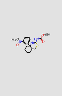 CO[N+](=O)c1cccc([C@]23CCCCC2CSC(NC(=O)OC(C)(C)C)=N3)c1